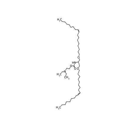 CCCCCCCC/C=C\CCCCCCCCOCC(COCCCCCCCC/C=C\CCCCCCCC)NC(=O)OCCN(CC)CC